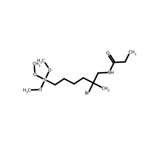 CCC(=O)NCC(C)(Br)CCCC[Si](OC)(OC)OC